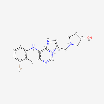 Cc1c(Br)cccc1Nc1cncn2c(CN3CC[C@H](O)C3)cnc12